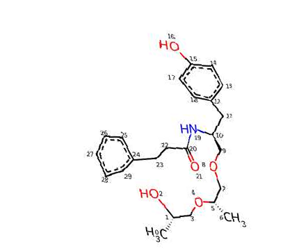 C[C@H](O)CO[C@@H](C)COC[C@H](Cc1ccc(O)cc1)NC(=O)CCc1ccccc1